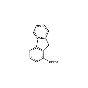 CCCCCc1cccc2c1[C]c1ccccc1-2